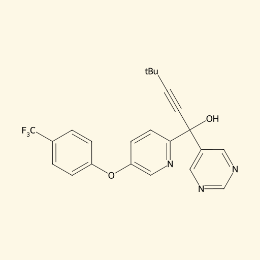 CC(C)(C)C#CC(O)(c1cncnc1)c1ccc(Oc2ccc(C(F)(F)F)cc2)cn1